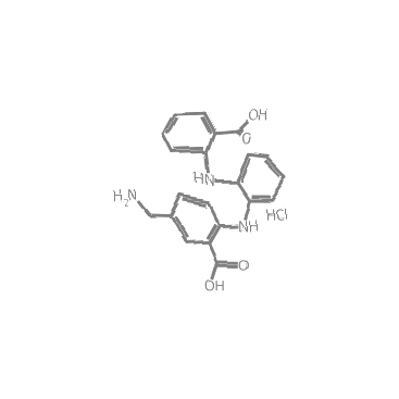 Cl.NCc1ccc(Nc2ccccc2Nc2ccccc2C(=O)O)c(C(=O)O)c1